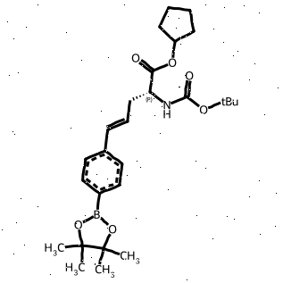 CC(C)(C)OC(=O)N[C@H](CC=Cc1ccc(B2OC(C)(C)C(C)(C)O2)cc1)C(=O)OC1CCCC1